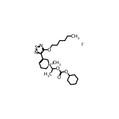 CCCCCCOc1nsnc1C1=CCC[N+](C)(C(C)OC(=O)OC2CCCCC2)C1.[I-]